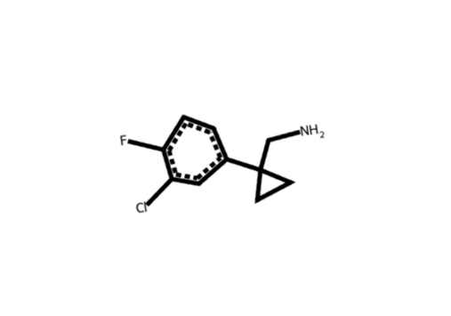 NCC1(c2ccc(F)c(Cl)c2)CC1